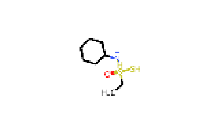 CC[SH](=O)(S)NC1CCCCC1